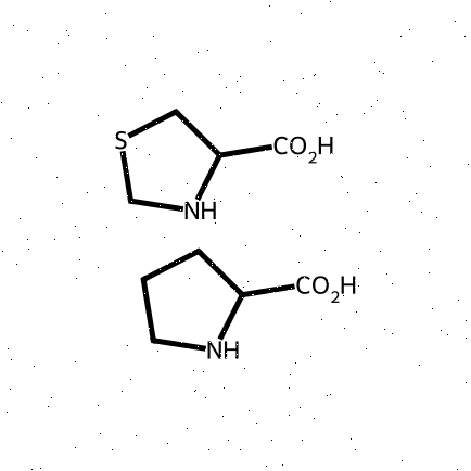 O=C(O)C1CCCN1.O=C(O)C1CSCN1